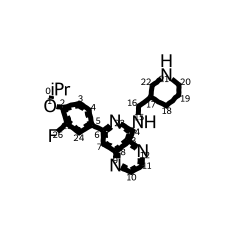 CC(C)Oc1ccc(-c2cc3nccnc3c(NCC3CCCNC3)n2)cc1F